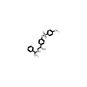 Cc1ccc(S(=O)(=O)Oc2ccc([C@@H](O)CNC(C)c3ccccc3)cc2)cc1